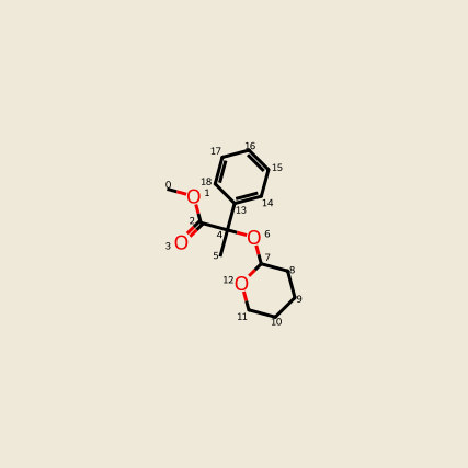 COC(=O)C(C)(OC1CCCCO1)c1ccccc1